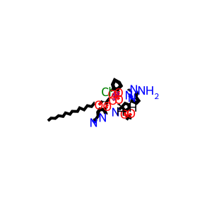 CCCCCCCCCCCCCCOC[C@H](COP(=O)(OC[C@@]1(C#N)C[C@@H](c2ccc3c(N)ncnn23)[C@@H]2OC(C)(C)O[C@@H]21)Oc1ccccc1Cl)Oc1ccc(C#N)nc1